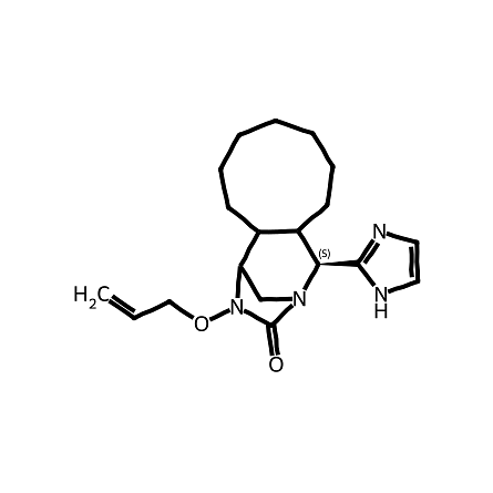 C=CCON1C(=O)N2CC1C1CCCCCCCC1[C@H]2c1ncc[nH]1